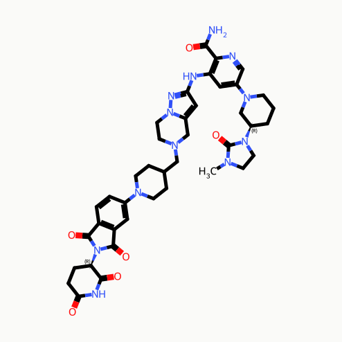 CN1CCN([C@@H]2CCCN(c3cnc(C(N)=O)c(Nc4cc5n(n4)CCN(CC4CCN(c6ccc7c(c6)C(=O)N([C@@H]6CCC(=O)NC6=O)C7=O)CC4)C5)c3)C2)C1=O